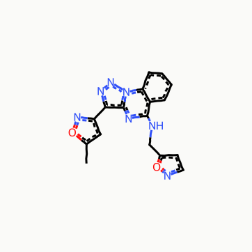 Cc1cc(-c2nnn3c2nc(NCc2ccno2)c2ccccc23)no1